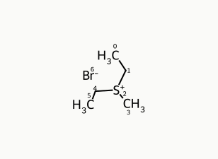 CC[S+](C)CC.[Br-]